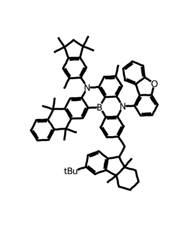 Cc1cc2c3c(c1)N(c1cccc4oc5ccccc5c14)c1cc(CC4c5ccc(C(C)(C)C)cc5C5(C)CCCCC45C)ccc1B3c1cc3c(cc1N2c1cc2c(cc1C)C(C)(C)CC2(C)C)C(C)(C)c1ccccc1C3(C)C